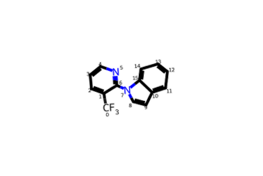 FC(F)(F)c1cccnc1-n1ccc2ccccc21